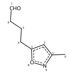 Cc1cc(CCCC=O)on1